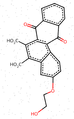 O=C(O)c1c2c(c3ccc(OCCO)cc3c1C(=O)O)C(=O)c1ccccc1C2=O